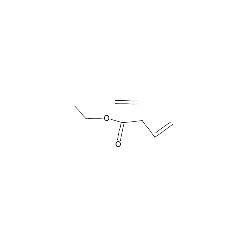 C=C.C=CCC(=O)OCC